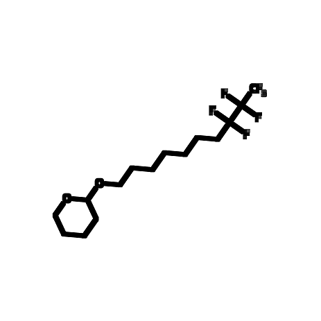 FC(F)(F)C(F)(F)C(F)(F)CCCCCCCOC1CCCCO1